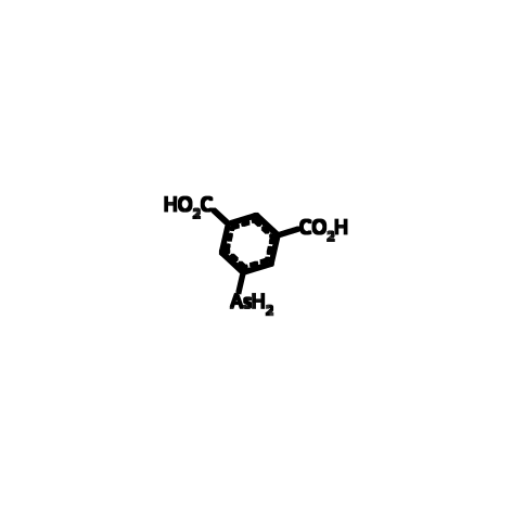 O=C(O)c1cc([AsH2])cc(C(=O)O)c1